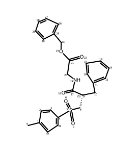 Cc1ccc(S(=O)(=O)C[C@@H](Cc2ccccc2)C(=O)NCC(=O)OCc2ccccc2)cc1